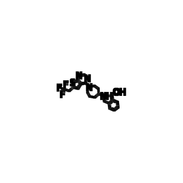 OCc1ccccc1CNC1CCCN(c2ncnc3sc(CC(F)(F)F)cc23)CC1